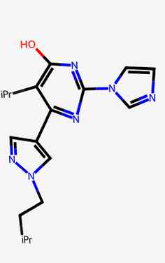 CC(C)CCn1cc(-c2nc(-n3ccnc3)nc(O)c2C(C)C)cn1